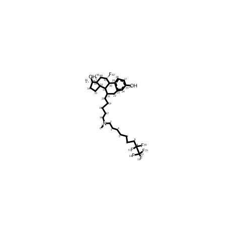 CN(CCCCCCCC(F)(F)C(F)(F)F)CCCCCC1Cc2cc(O)ccc2C2C1C1CC[C@@](C)(O)[C@@]1(C)C[C@@H]2F